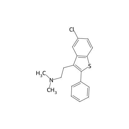 CN(C)CCc1c(-c2ccccc2)sc2ccc(Cl)cc12